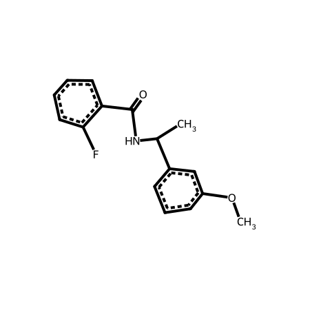 COc1cccc(C(C)NC(=O)c2ccccc2F)c1